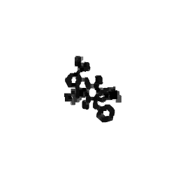 CCC1(Cc2ccccc2)C(=O)N(C)C(=Cc2c(OC)cccc2[N+](=O)[O-])C(=O)N1C